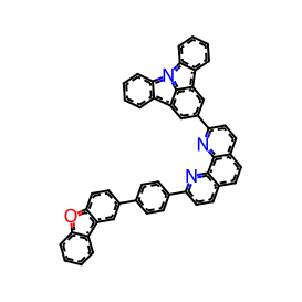 c1ccc2c(c1)oc1ccc(-c3ccc(-c4ccc5ccc6ccc(-c7cc8c9ccccc9n9c%10ccccc%10c(c7)c89)nc6c5n4)cc3)cc12